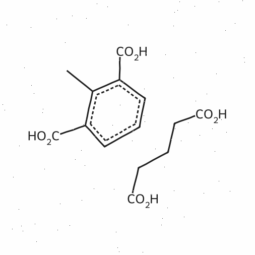 Cc1c(C(=O)O)cccc1C(=O)O.O=C(O)CCCC(=O)O